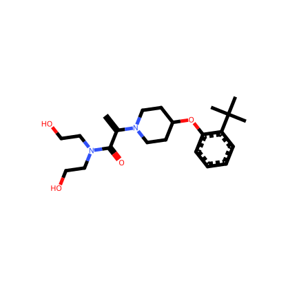 C=C(C(=O)N(CCO)CCO)N1CCC(Oc2ccccc2C(C)(C)C)CC1